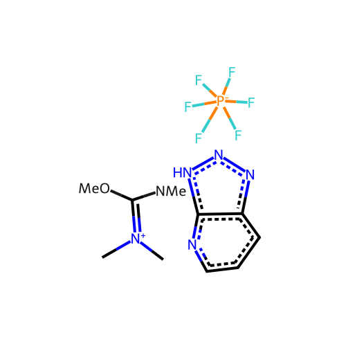 CNC(OC)=[N+](C)C.F[P-](F)(F)(F)(F)F.c1cnc2[nH]nnc2c1